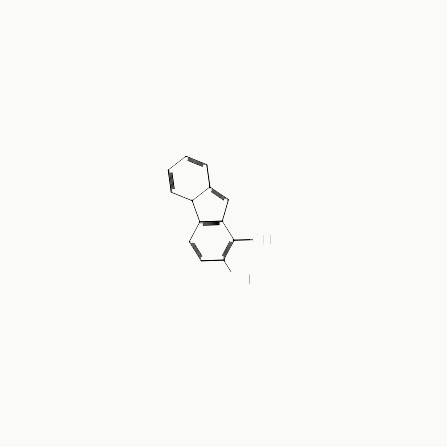 Cc1ccc2c(c1C)[C]=C1C=CC=CC12